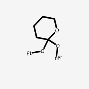 CCCOC1(OCC)CCCCO1